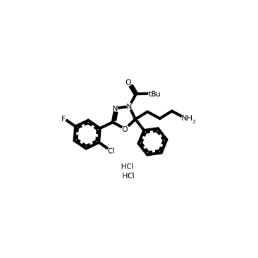 CC(C)(C)C(=O)N1N=C(c2cc(F)ccc2Cl)OC1(CCCN)c1ccccc1.Cl.Cl